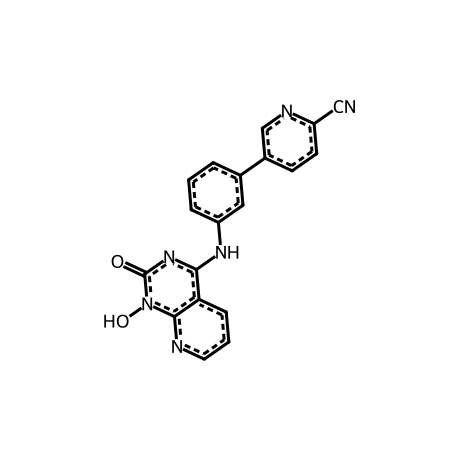 N#Cc1ccc(-c2cccc(Nc3nc(=O)n(O)c4ncccc34)c2)cn1